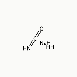 N=C=O.[HH].[NaH]